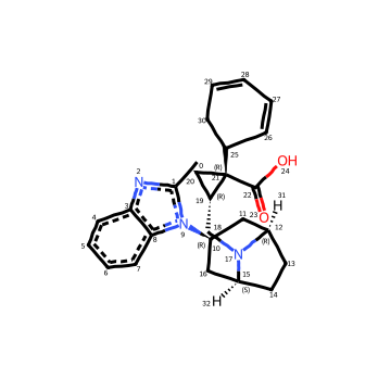 Cc1nc2ccccc2n1[C@H]1C[C@H]2CC[C@@H](C1)N2C[C@@H]1C[C@@]1(C(=O)O)C1C=CC=CC1